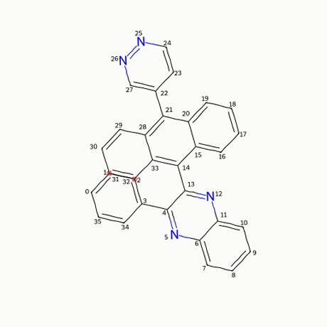 c1ccc(-c2nc3ccccc3nc2-c2c3ccccc3c(-c3ccnnc3)c3ccccc23)cc1